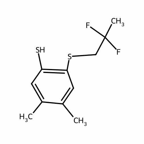 Cc1cc(S)c(SCC(C)(F)F)cc1C